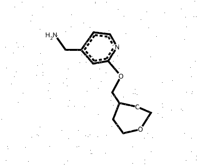 NCc1ccnc(OCC2CCOCC2)c1